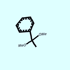 [CH2]OC(C)(OC)c1ccccc1